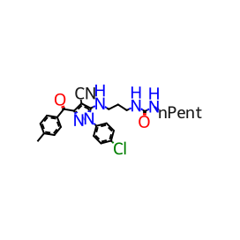 CCCCCNC(=O)NCCCNc1c(C#N)c(C(=O)c2ccc(C)cc2)nn1-c1ccc(Cl)cc1